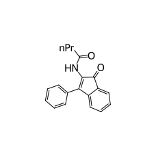 CCCC(=O)NC1=C(c2ccccc2)c2ccccc2C1=O